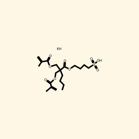 C=C(C)C(=O)OCC(CCCC)(COC(=O)C(=C)C)C(=O)OCCCCS(=O)(=O)O.[KH]